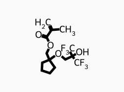 C=C(C)C(=O)OCC1(OCC(O)(C(F)(F)F)C(F)(F)F)CCCC1